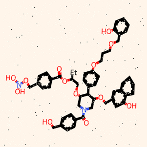 CCC(COC1CN(C(=O)c2ccc(CO)cc2)CC(OCc2cc(O)c3ccccc3c2)C1c1ccc(OCCCOCc2ccccc2O)cc1)OC(=O)c1ccc(CON(O)O)cc1